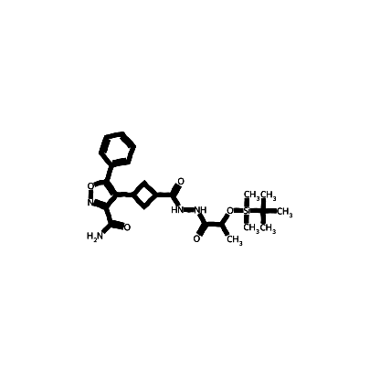 CC(O[Si](C)(C)C(C)(C)C)C(=O)NNC(=O)C1CC(c2c(C(N)=O)noc2-c2ccccc2)C1